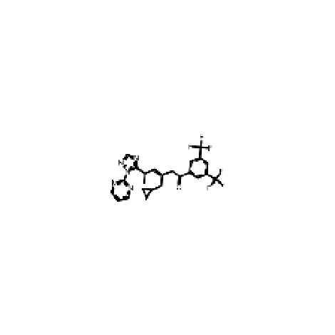 CC(/C=C(/CC(=O)c1cc(C(C)(F)F)cc(C(F)(F)F)c1)CC1CC1)c1ncnn1-c1ncccn1